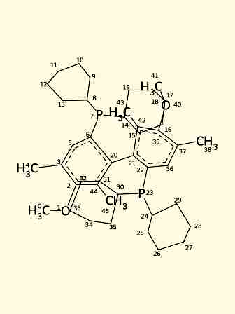 COc1c(C)cc(P(C2CCCCC2)C2CCCCC2)c(-c2c(P(C3CCCCC3)C3CCCCC3)cc(C)c(OC)c2C)c1C